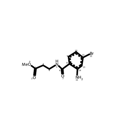 COC(=O)CCNC(=O)c1ccc(Br)cc1N